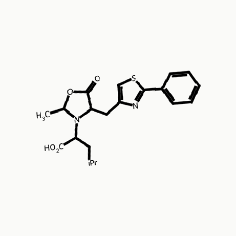 CC(C)CC(C(=O)O)N1C(C)OC(=O)C1Cc1csc(-c2ccccc2)n1